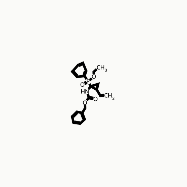 C=CC1CC1(NC(=O)OCc1ccccc1)P(=O)(OCC)c1ccccc1